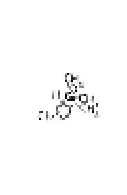 CCO[Si](C)(C)C(C)c1ccc(CCl)cc1